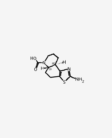 Nc1nc2c(s1)CC[C@H]1[C@H]2CCCN1C(=O)O